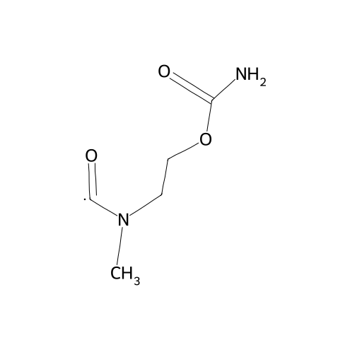 CN([C]=O)CCOC(N)=O